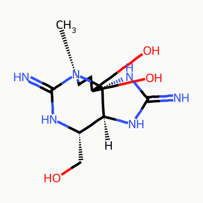 C[C@H]1CC(O)(O)[C@]23NC(=N)N[C@H]2[C@H](CO)NC(=N)N13